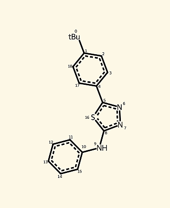 CC(C)(C)c1ccc(-c2nnc(Nc3ccccc3)s2)cc1